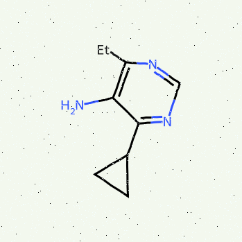 CCc1ncnc(C2CC2)c1N